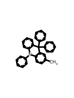 Cc1ccc2c(c1)C(c1ccccc1)(c1ccccc1)c1ccccc1N2c1ccccc1